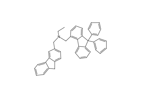 CCN(Cc1ccc2c(c1)-c1ccccc1C2)Cc1cccc2c1-c1ccccc1C2(c1ccccc1)c1ccccc1